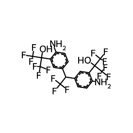 Nc1ccc(C(c2ccc(N)c(C(O)(C(F)(F)F)C(F)(F)F)c2)C(F)(F)F)cc1C(O)(C(F)(F)F)C(F)(F)F